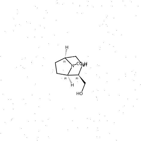 O=C(O)N1[C@H]2CC[C@@H]1[C@H](CO)NC2